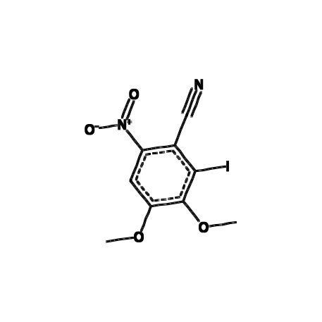 COc1cc([N+](=O)[O-])c(C#N)c(I)c1OC